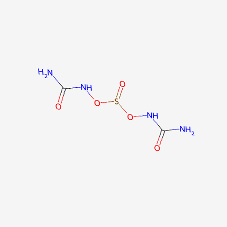 NC(=O)NOS(=O)ONC(N)=O